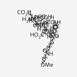 COCCOCCNC(=O)COCCOCCNC(=O)[C@H](Cc1ccc(C(C)=O)cc1)NC(=O)[C@@H](CCC(=O)O)NC(=O)[C@@H](CCC(=O)O)NC(=O)[C@@H](CCC(=O)O)NC(=O)[C@@H](CCC(=O)O)NC(=O)[C@H](N)CCC(=O)O